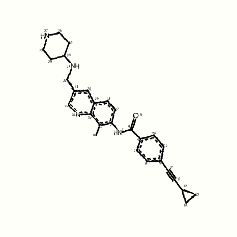 Cc1c(NC(=O)c2ccc(C#CC3CC3)cc2)ccc2cc(CNC3CCNCC3)cnc12